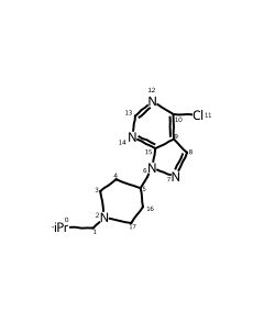 C[C](C)CN1CCC(n2ncc3c(Cl)ncnc32)CC1